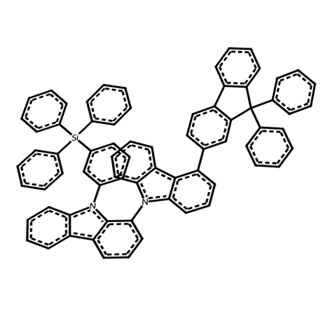 c1ccc(C2(c3ccccc3)c3ccccc3-c3ccc(-c4cccc5c4c4ccccc4n5-c4cccc5c6ccccc6n(-c6cccc([Si](c7ccccc7)(c7ccccc7)c7ccccc7)c6)c45)cc32)cc1